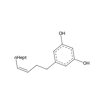 CCCCCCC/C=C\CCc1cc(O)cc(O)c1